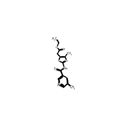 CCOC(=O)Cc1sc(NC(=O)c2cncc(C)c2)nc1C